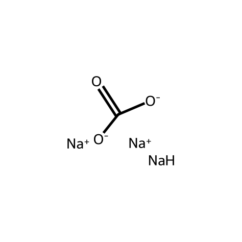 O=C([O-])[O-].[Na+].[Na+].[NaH]